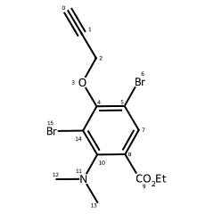 C#CCOc1c(Br)cc(C(=O)OCC)c(N(C)C)c1Br